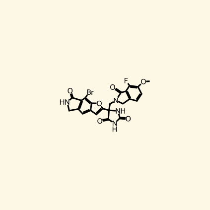 COc1ccc2c(c1F)C(=O)N(CC1(c3cc4cc5c(c(Br)c4o3)C(=O)NC5)NC(=O)NC1=O)C2